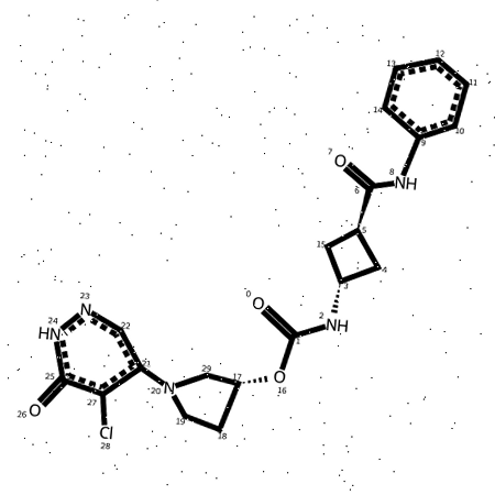 O=C(N[C@H]1C[C@H](C(=O)Nc2ccccc2)C1)O[C@@H]1CCN(c2cn[nH]c(=O)c2Cl)C1